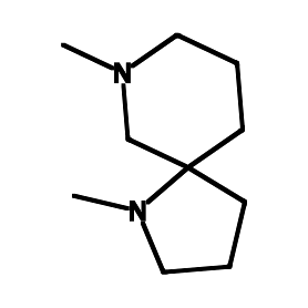 CN1CCCC2(CCCN2C)C1